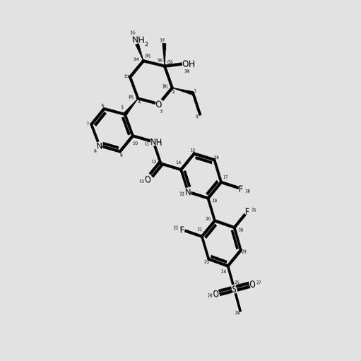 CC[C@H]1O[C@@H](c2ccncc2NC(=O)c2ccc(F)c(-c3c(F)cc(S(C)(=O)=O)cc3F)n2)C[C@@H](N)[C@]1(C)O